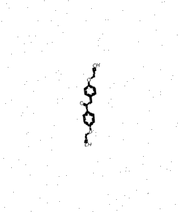 C#CCOc1ccc(CC(=O)c2ccc(OCC#C)cc2)cc1